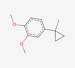 COc1ccc(C2(I)CC2)cc1OC